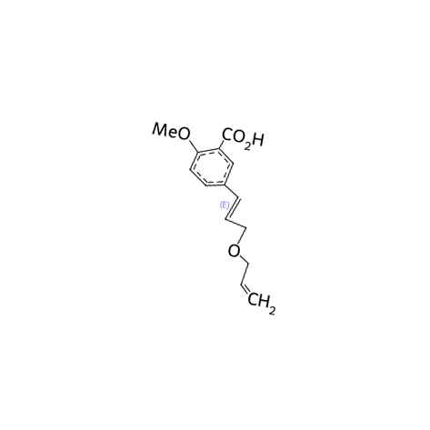 C=CCOC/C=C/c1ccc(OC)c(C(=O)O)c1